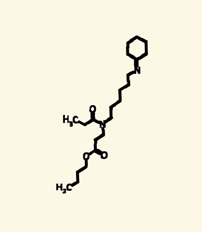 CCCCOC(=O)CCN(CCCCCCN=C1CCCCC1)C(=O)CC